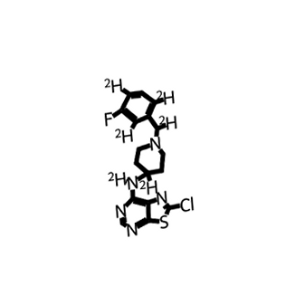 [2H]c1cc([2H])c(C([2H])N2CCC([2H])(N([2H])c3ncnc4sc(Cl)nc34)CC2)c([2H])c1F